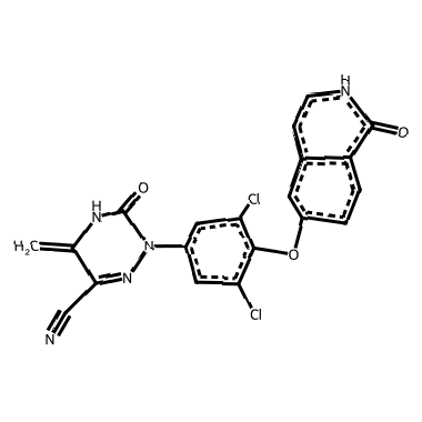 C=C1NC(=O)N(c2cc(Cl)c(Oc3ccc4c(=O)[nH]ccc4c3)c(Cl)c2)N=C1C#N